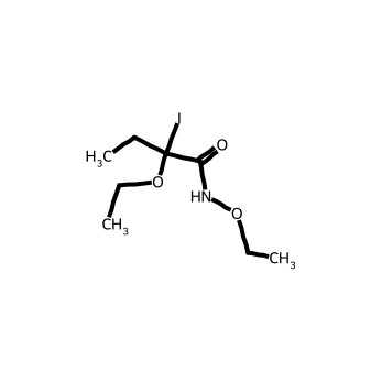 CCONC(=O)C(I)(CC)OCC